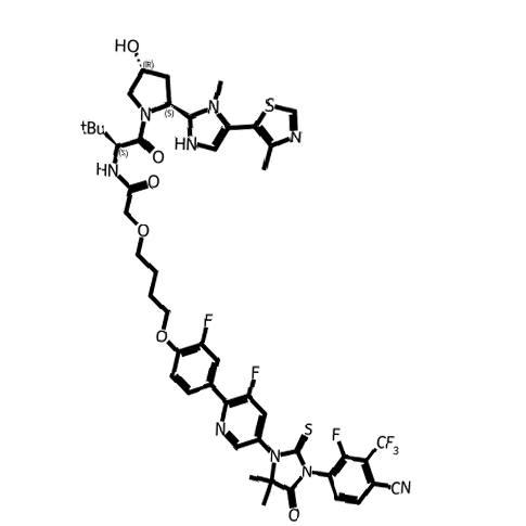 Cc1ncsc1C1=CNC([C@@H]2C[C@@H](O)CN2C(=O)[C@@H](NC(=O)COCCCCOc2ccc(-c3ncc(N4C(=S)N(c5ccc(C#N)c(C(F)(F)F)c5F)C(=O)C4(C)C)cc3F)cc2F)C(C)(C)C)N1C